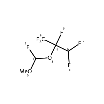 COC(F)OC(F)(C(F)F)C(F)(F)F